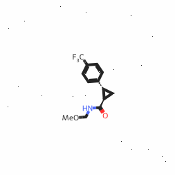 COCNC(=O)[C@@H]1C[C@H]1c1ccc(C(F)(F)F)cc1